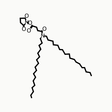 CCCCCCCCCCCCCCCCCCN(CCCCCCCCCCCCCCCCCC)C(=O)CCC(=O)ON1C(=O)CCC1=O